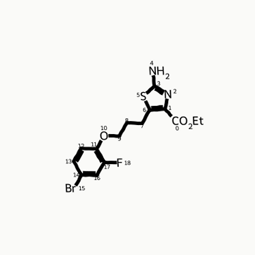 CCOC(=O)c1nc(N)sc1CCCOc1ccc(Br)cc1F